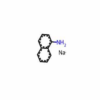 Nc1cccc2ccccc12.[Na]